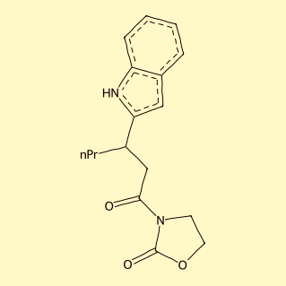 CCCC(CC(=O)N1CCOC1=O)c1cc2ccccc2[nH]1